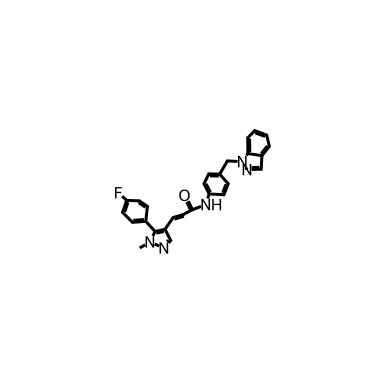 Cn1ncc(C=CC(=O)Nc2ccc(Cn3ncc4ccccc43)cc2)c1-c1ccc(F)cc1